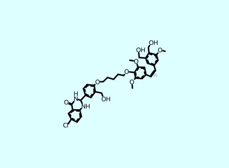 COc1cc(/C=C\c2cc(OC)c(OCCCCCOc3ccc(C4NC(=O)c5cc(Cl)ccc5N4)cc3CO)c(OC)c2)cc(CO)c1CO